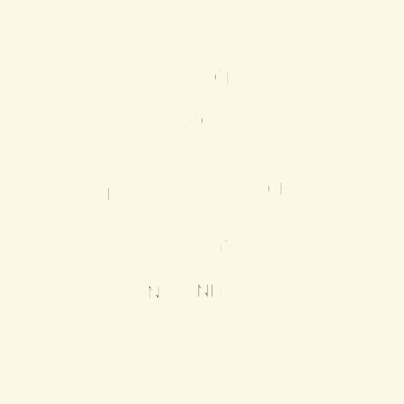 CCOc1cc2c3c(c(C4=NCCCN4)c(-c4ccccc4)c(C)c3c1)OC(c1ccccc1)=C2C